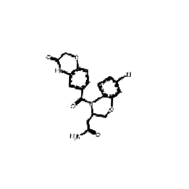 NC(=O)CC1COc2cc(Cl)ccc2N1C(=O)c1ccc2c(c1)NC(=O)CO2